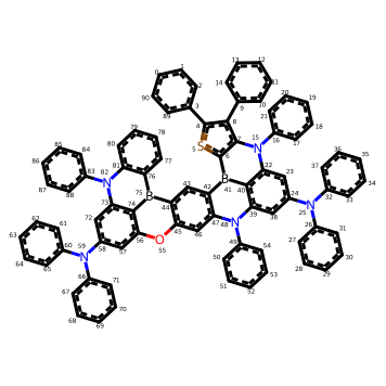 c1ccc(-c2sc3c(c2-c2ccccc2)N(c2ccccc2)c2cc(N(c4ccccc4)c4ccccc4)cc4c2B3c2cc3c(cc2N4c2ccccc2)Oc2cc(N(c4ccccc4)c4ccccc4)cc4c2B3c2ccccc2N4c2ccccc2)cc1